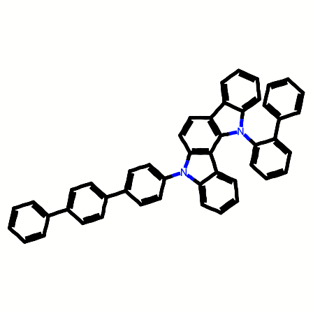 c1ccc(-c2ccc(-c3ccc(-n4c5ccccc5c5c4ccc4c6ccccc6n(-c6ccccc6-c6ccccc6)c45)cc3)cc2)cc1